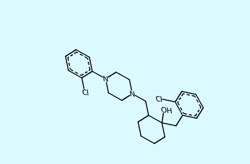 OC1(Cc2ccccc2Cl)CCCCC1CN1CCN(c2ccccc2Cl)CC1